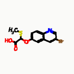 CSC(Oc1ccc2ncc(Br)cc2c1)C(=O)O